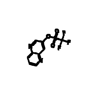 O=S(=O)(Oc1cnc2cccnc2c1)C(F)(F)F